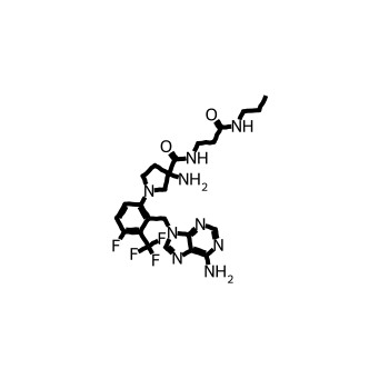 CCCNC(=O)CCNC(=O)C1(N)CCN(c2ccc(F)c(C(F)(F)F)c2Cn2cnc3c(N)ncnc32)C1